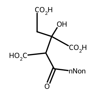 CCCCCCCCCC(=O)C(C(=O)O)C(O)(CC(=O)O)C(=O)O